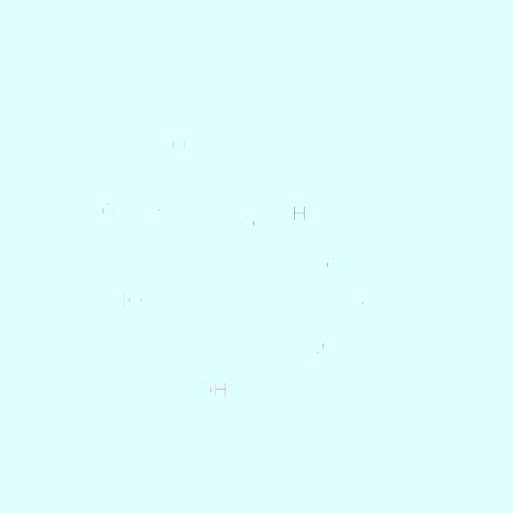 COC(=O)C1O[C@H]2OC(C)(C)OC2C(O)[C@@H]1O